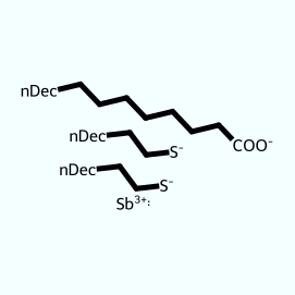 CCCCCCCCCCCCCCCCCC(=O)[O-].CCCCCCCCCCCC[S-].CCCCCCCCCCCC[S-].[Sb+3]